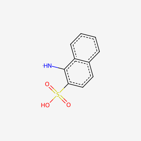 [NH]c1c(S(=O)(=O)O)ccc2ccccc12